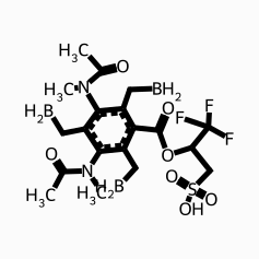 BCc1c(C(=O)OC(CS(=O)(=O)O)C(F)(F)F)c(CB)c(N(C)C(C)=O)c(CB)c1N(C)C(C)=O